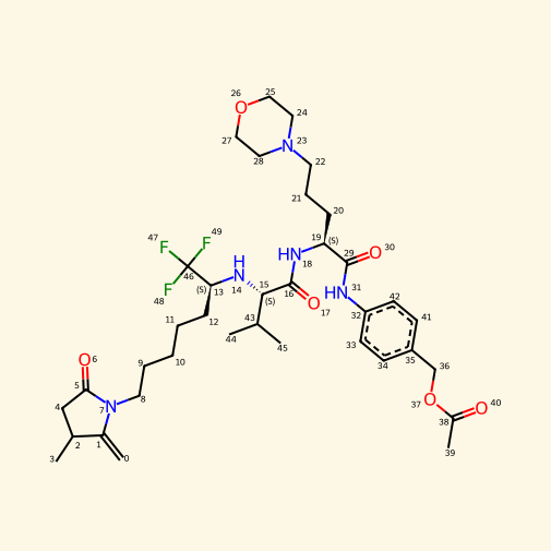 C=C1C(C)CC(=O)N1CCCCC[C@H](N[C@H](C(=O)N[C@@H](CCCN1CCOCC1)C(=O)Nc1ccc(COC(C)=O)cc1)C(C)C)C(F)(F)F